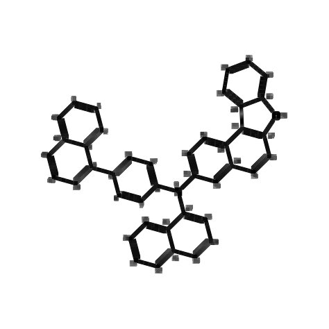 c1ccc2c(-c3ccc(N(c4ccc5c(ccc6oc7ccccc7c65)c4)c4cccc5ccccc45)cc3)cccc2c1